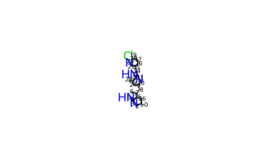 Cc1cnc2[nH]cc(Cc3cnc(NCc4ccc(Cl)nc4)c(C)c3)c2c1